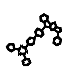 C1=CC(c2ccccc2)c2cc3c(cc21)-c1ccccc1C3c1ccc(-c2ccc(-c3nc(-c4ccccc4)nc(-c4ccccc4)n3)cc2)cc1